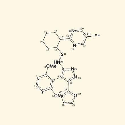 COc1cccc(OC)c1-n1c(NSC2CCCCC2c2ncc(F)cn2)nnc1-c1ccco1